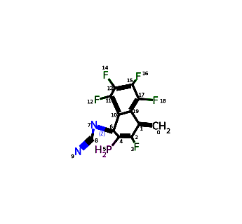 C=C1C(F)=C(P)/C(=N\C#N)c2c(F)c(F)c(F)c(F)c21